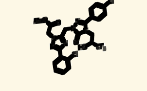 COC(=O)Cn1nc(-c2ccccc2Cl)nc1Cn1nc(-c2ccc(Cl)cc2)n(C[C@H](O)C(F)(F)F)c1=O